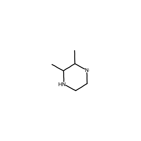 CC1[N]CCNC1C